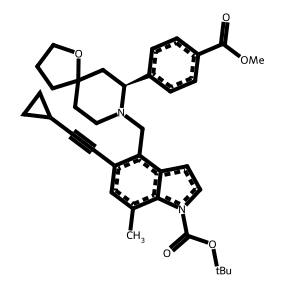 COC(=O)c1ccc([C@@H]2CC3(CCCO3)CCN2Cc2c(C#CC3CC3)cc(C)c3c2ccn3C(=O)OC(C)(C)C)cc1